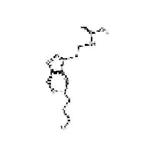 CCCCc1ccc2occ(CCNC(C)=O)c2c1